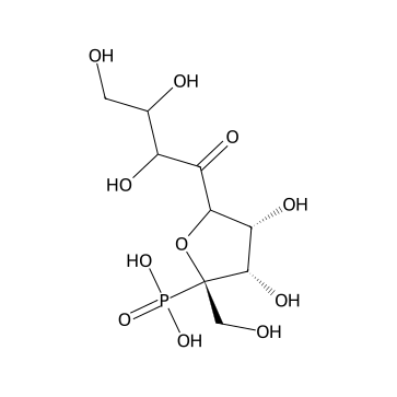 O=C(C(O)C(O)CO)C1O[C@@](CO)(P(=O)(O)O)[C@@H](O)[C@H]1O